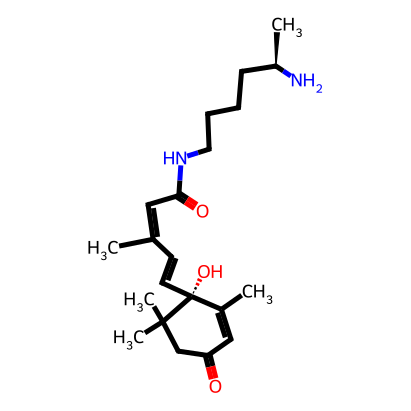 CC1=CC(=O)CC(C)(C)[C@@]1(O)/C=C/C(C)=C\C(=O)NCCCC[C@@H](C)N